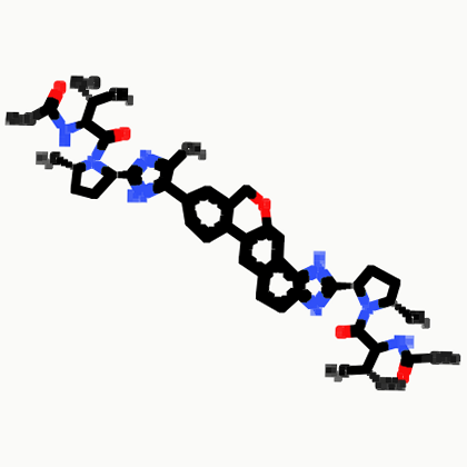 COC(=O)NC(C(=O)N1[C@@H](C)CC[C@H]1c1nc2ccc3cc4c(cc3c2[nH]1)OCc1cc(-c2[nH]c([C@@H]3CC[C@H](C)N3C(=O)[C@@H](NC(=O)OC)[C@@H](C)OC)nc2C)ccc1-4)[C@@H](C)OC